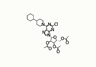 CC(=O)OC[C@H]1O[C@@H](n2cnc3c(N4CCC(C5CCCCC5)CC4)nc(Cl)nc32)[C@H](OC(C)=O)[C@@H]1OC(C)=O